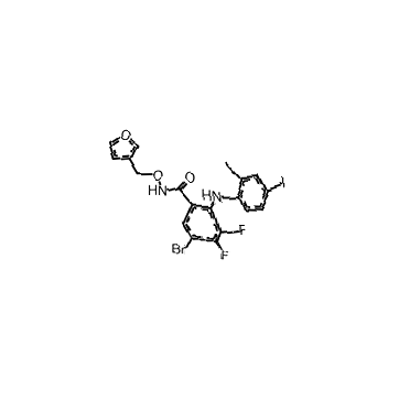 Cc1cc(I)ccc1Nc1c(C(=O)NOCc2ccoc2)cc(Br)c(F)c1F